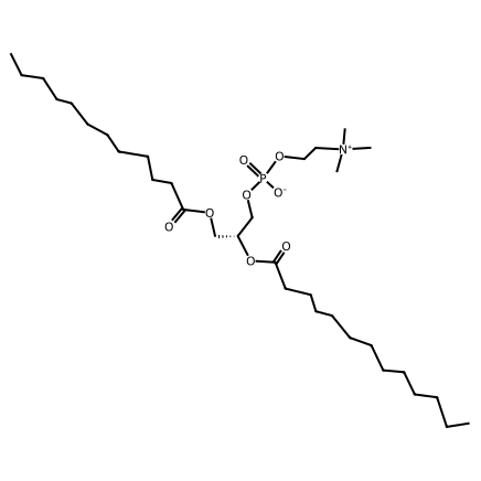 CCCCCCCCCCCCC(=O)O[C@H](COC(=O)CCCCCCCCCCC)COP(=O)([O-])OCC[N+](C)(C)C